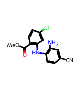 COC(=O)c1ccc(Cl)cc1Nc1ccc(C#N)cc1N